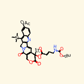 CCC1(OC(=O)CCCNC(=O)OC(C)(C)C)C(=O)OCc2c1cc1n(c2=O)Cc2c-1nc1ccc(OC(C)=O)cc1c2[Si](C)(C)C